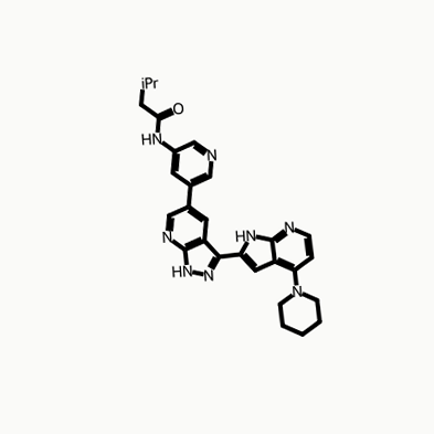 CC(C)CC(=O)Nc1cncc(-c2cnc3[nH]nc(-c4cc5c(N6CCCCC6)ccnc5[nH]4)c3c2)c1